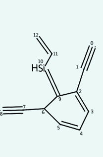 [C]#CC1=CC=CC(C#[C])C1=[SiH]C=C